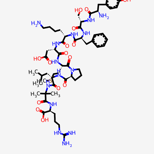 CSCC[C@H](NC(=O)[C@H](CC(=O)O)NC(=O)[C@H](CCCCN)NC(=O)[C@H](Cc1ccccc1)NC(=O)[C@H](CO)NC(=O)[C@@H](N)Cc1ccc(O)cc1)C(=O)N1CCC[C@H]1C(=O)N[C@@H](CC(C)C)C(=O)NC(C)(C)C(=O)N[C@@H](CCCNC(=N)N)C(=O)O